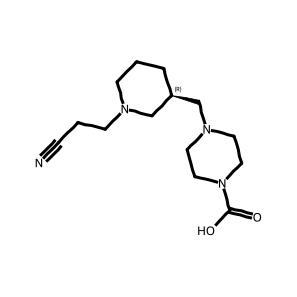 N#CCCN1CCC[C@@H](CN2CCN(C(=O)O)CC2)C1